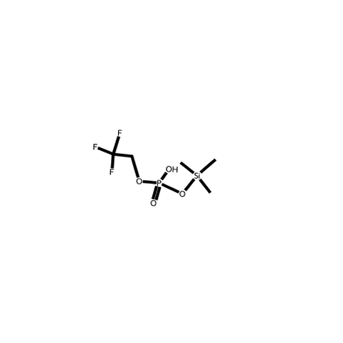 C[Si](C)(C)OP(=O)(O)OCC(F)(F)F